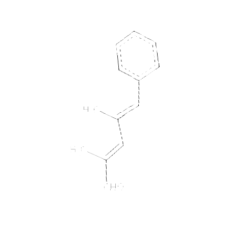 C/C(C=O)=C\C(C)=C\c1ccccc1